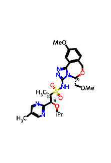 COC[C@H]1OCc2ccc(OC)cc2-c2nnc(NS(=O)(=O)[C@@H](C)[C@@H](OC(C)C)c3ncc(C)cn3)n21